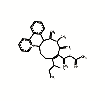 C=C(OC(C)=N)/C1=C(\C(C)CC)CCC2C(C(=C)N(C)C1=C)c1ccccc1-c1cccc[n+]12